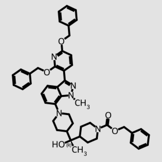 Cn1nc(-c2ccc(OCc3ccccc3)nc2OCc2ccccc2)c2cccc(N3CCC([C@@](C)(O)C4CCN(C(=O)OCc5ccccc5)CC4)CC3)c21